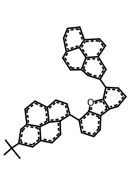 CC(C)(C)c1cc2ccc3ccc(-c4cccc5c4oc4c(-c6cc7ccc8cccc9ccc(c6)c7c89)cccc45)c4ccc(c1)c2c34